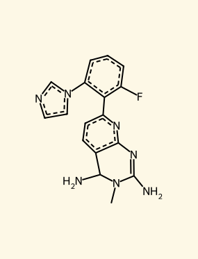 CN1C(N)=Nc2nc(-c3c(F)cccc3-n3ccnc3)ccc2C1N